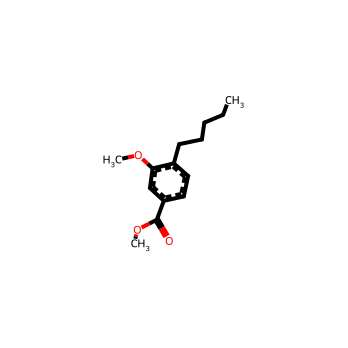 CCCCCc1ccc(C(=O)OC)cc1OC